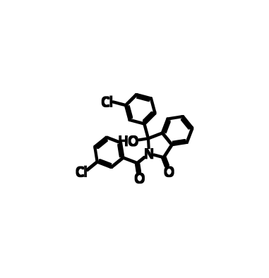 O=C(c1cccc(Cl)c1)N1C(=O)c2ccccc2C1(O)c1cccc(Cl)c1